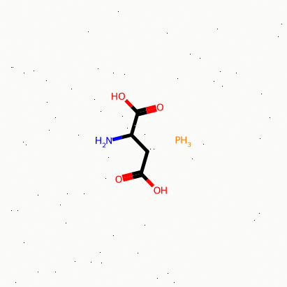 NC(CC(=O)O)C(=O)O.P